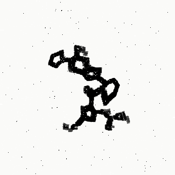 Cc1cc(N[S+](C)[O-])c(C(=O)N2CCCCC2c2cc3nc(N4CCCC4)c(C)cn3n2)s1